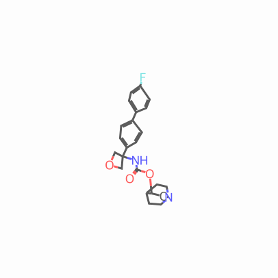 O=C(NC1(c2ccc(-c3ccc(F)cc3)cc2)COC1)OC1CN2CCC1CC2